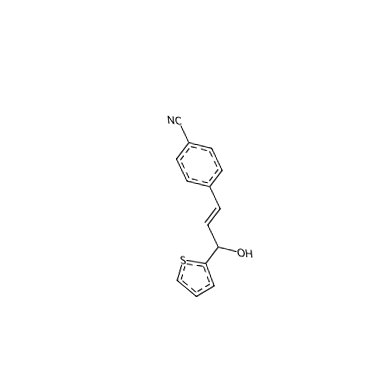 N#Cc1ccc(C=CC(O)c2cccs2)cc1